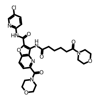 O=C(CCCCC(=O)N1CCOCC1)Nc1c(C(=O)Nc2ccc(Cl)cn2)oc2ccc(C(=O)N3CCOCC3)nc12